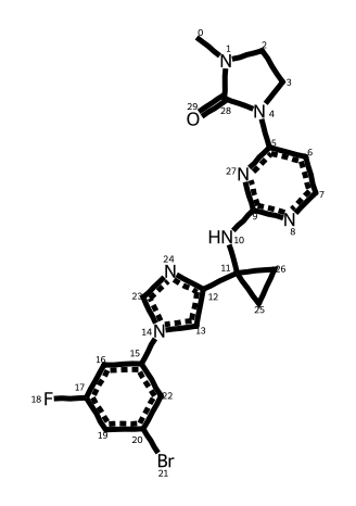 CN1CCN(c2ccnc(NC3(c4cn(-c5cc(F)cc(Br)c5)cn4)CC3)n2)C1=O